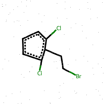 Clc1cccc(Cl)c1CCBr